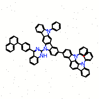 c1ccc(-n2c3ccccc3c3cc4c(cc32)c2cc(-c3ccc5c(c3)c3ccc6c7ccccc7n(-c7ccccc7)c6c3n5-c3ccccc3)ccc2n4C2N=C(c3ccc(-c4cccc5ccccc45)cc3)c3ccccc3N2)cc1